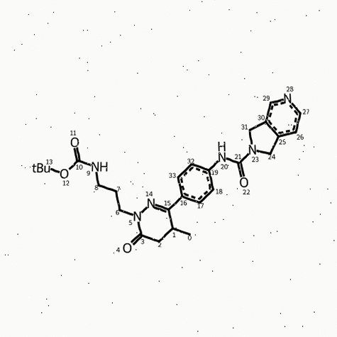 CC1CC(=O)N(CCCNC(=O)OC(C)(C)C)N=C1c1ccc(NC(=O)N2Cc3ccncc3C2)cc1